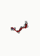 O=C(/C=C/c1cccnc1)NCCCCC1CCN(C(=O)c2ccc(N3CCN(C(=O)CCCCCNc4cccc5c4CN(C4CCC(=O)NC4=O)C5=O)CC3)cc2)CC1